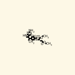 C=CC(c1ccc(C(=O)N[C@@H](CCC(=O)OCC)C(=O)OCC)cc1)c1c[nH]c2nc(N)nc(O)c12